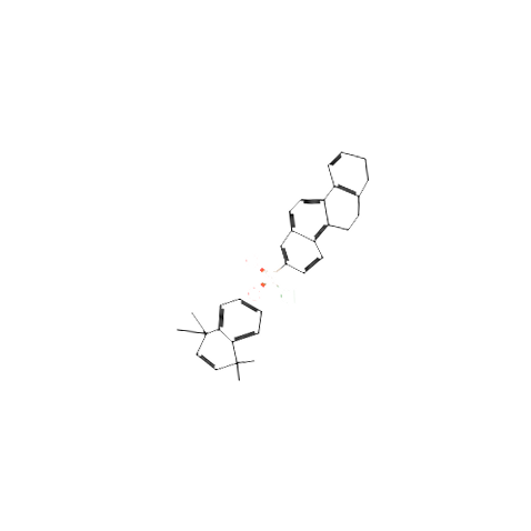 CC1(C)C=CC(C)(C)c2ccccc21.O=S(=O)(Cl)c1ccc2c3c(ccc2c1)C1=C(CCC=C1)CC3